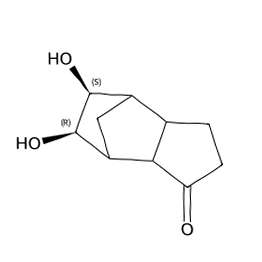 O=C1CCC2C1C1CC2[C@H](O)[C@@H]1O